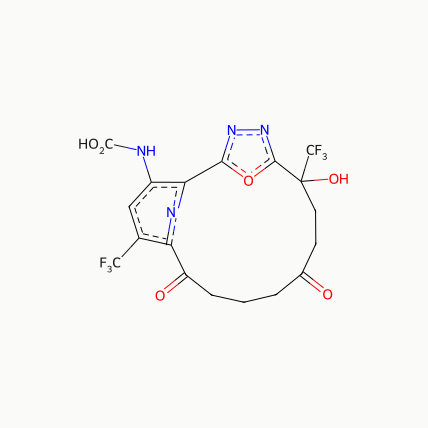 O=C1CCCC(=O)c2nc(c(NC(=O)O)cc2C(F)(F)F)-c2nnc(o2)C(O)(C(F)(F)F)CC1